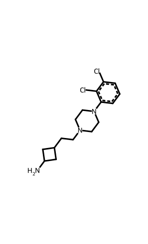 NC1CC(CCN2CCN(c3cccc(Cl)c3Cl)CC2)C1